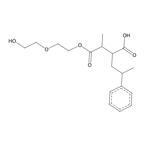 CC(CC(C(=O)O)C(C)C(=O)OCCOCCO)c1ccccc1